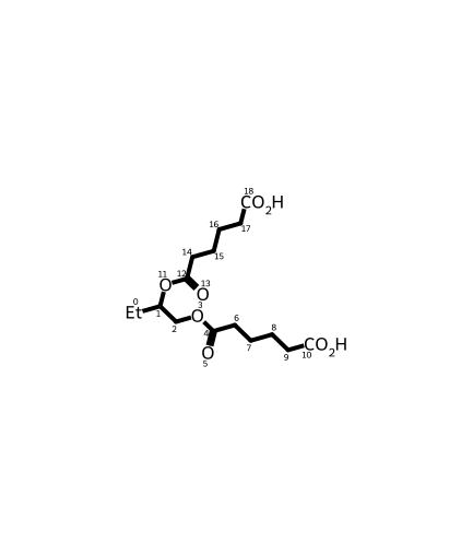 CCC(COC(=O)CCCCC(=O)O)OC(=O)CCCCC(=O)O